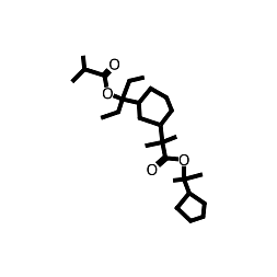 CCC(CC)(OC(=O)C(C)C)C1CCCC(C(C)(C)C(=O)OC(C)(C)C2CCCC2)C1